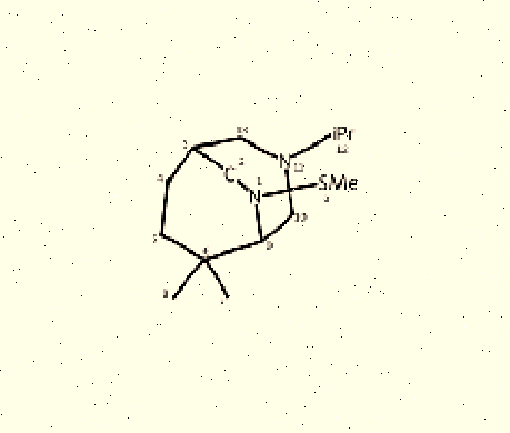 CSN1CC2CCC(C)(C)C1CN(C(C)C)C2